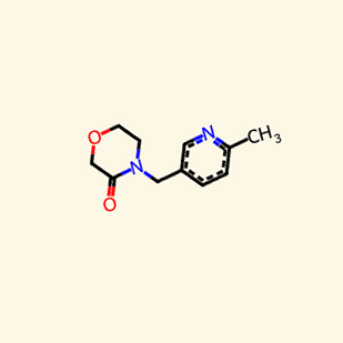 Cc1ccc(CN2CCOCC2=O)cn1